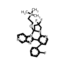 C[Si](C)(C)CCOCn1c(-c2c(-c3ccccc3F)ccnc2N2CCC(F)(F)C2)nc2cnccc21